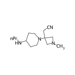 CCCNC1CCN(C2(CC#N)CN(C)C2)CC1